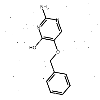 Nc1ncc(OCc2ccccc2)c(O)n1